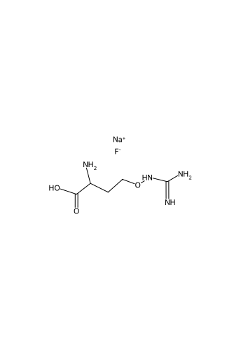 N=C(N)NOCCC(N)C(=O)O.[F-].[Na+]